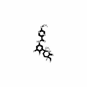 COc1cnc(C(=O)Nc2cc(F)c(F)c([C@]3(C)CC[C@](F)(CF)C(=S)N3)c2)cn1